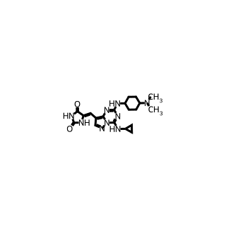 CN(C)C1CCC(Nc2nc(NC3CC3)n3ncc(/C=C4\NC(=O)NC4=O)c3n2)CC1